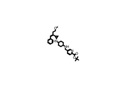 COCCC(=Cc1ccccc1)C1C[C@@H]1NC1CCC(NCc2ccc(C(=O)OC(C)(C)C)nc2)CC1